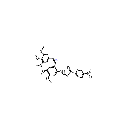 COc1cc(/C=C\c2cc(OC)c(OC)c(OC)c2)c(N/C=C\C(=O)c2ccc([N+](=O)[O-])cc2)cc1OC